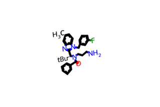 Cc1ccc2c(c1)nc([C@H](N(CCCN)C(=O)c1ccccc1)C(C)(C)C)n2Cc1cccc(F)c1